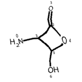 NC1C(=O)OC1O